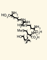 CSCCC(N)C(=O)O.CSCCC(N)C(=O)O.C[N+](C)(C)CCO.N=C(N)NCCCC(N)C(=O)O